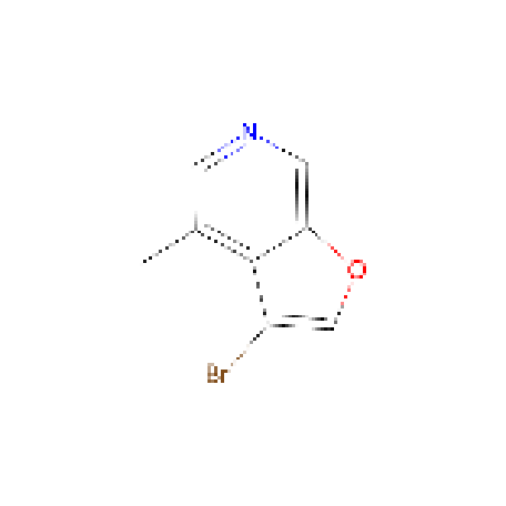 Cc1cncc2occ(Br)c12